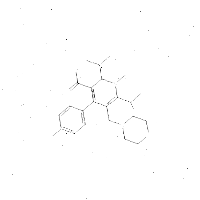 CC(C)C1=C(CN2CCOCC2)C(c2ccc(F)cc2)=C(C(=O)O)C(C(C)C)N1C